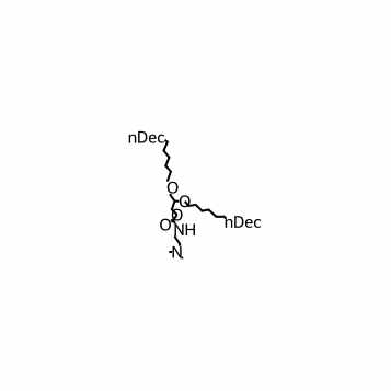 CCCCCCCCCCCCCCCCOCC(COC(=O)NCCN(C)C)OCCCCCCCCCCCCCCCC